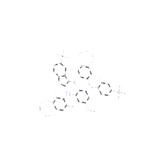 Cc1cc(C(C)(C)C)cc(C)c1N1c2cc3c(cc2B2c4c1cc(C(C)C)cc4N(c1c(C)cc4c(c1C)OCCCO4)c1sc4ccc(C(C)(C)C)cc4c12)OCCCO3